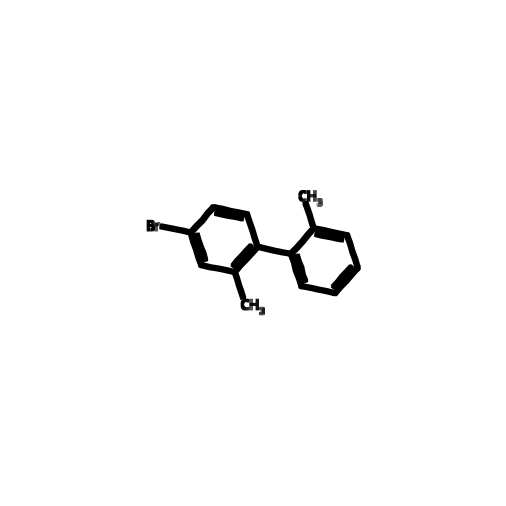 Cc1ccccc1-c1ccc(Br)cc1C